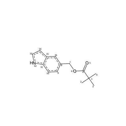 CC(C)(C)C(=O)OCc1ccc2[nH]ccc2c1